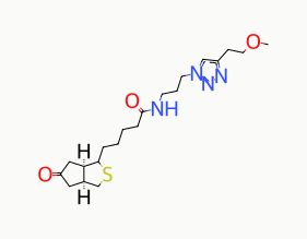 COCCc1cn(CCCNC(=O)CCCCC2SC[C@H]3CC(=O)C[C@@H]23)nn1